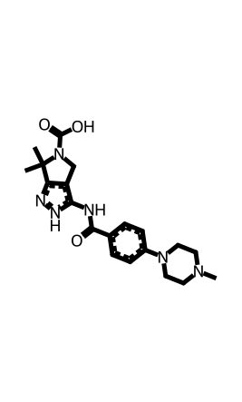 CN1CCN(c2ccc(C(=O)Nc3[nH]nc4c3CN(C(=O)O)C4(C)C)cc2)CC1